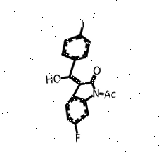 CC(=O)N1C(=O)C(=C(O)c2ccc(I)cc2)c2ccc(F)cc21